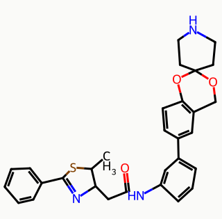 CC1SC(c2ccccc2)=NC1CC(=O)Nc1cccc(-c2ccc3c(c2)COC2(CCNCC2)O3)c1